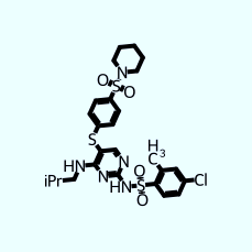 Cc1cc(Cl)ccc1S(=O)(=O)Nc1ncc(Sc2ccc(S(=O)(=O)N3CCCCC3)cc2)c(NCC(C)C)n1